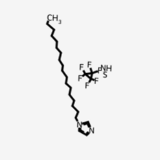 CCCCCCCCCCCCCCCCCCn1ccnc1.FC1(F)C(F)(F)C1(F)F.N=S